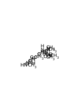 COC(=O)N[C@H](C(=O)N1C[C@@H](N(C)C)C[C@H]1c1nc(-c2ccc(-c3ccc(NC(=O)c4ccc(N5CCNCC5C)nc4)cc3)cc2)c[nH]1)C(C)C